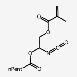 C=C(C)C(=O)OCC(N=C=O)OC(=O)CCCCC